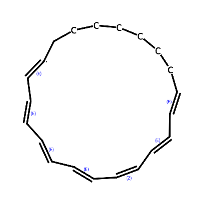 [C]1=C/C=C/C=C/C=C/C=C\C=C\C=C\CCCCCCC/1